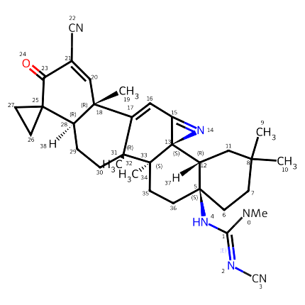 CN/C(=N\C#N)N[C@]12CCC(C)(C)C[C@H]1[C@@]13N=C1C=C1[C@@]4(C)C=C(C#N)C(=O)C5(CC5)[C@@H]4CC[C@@]1(C)[C@]3(C)CC2